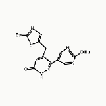 CCc1ncc(Cc2cc(=O)[nH]nc2-c2cnc(OCC(C)C)nc2)s1